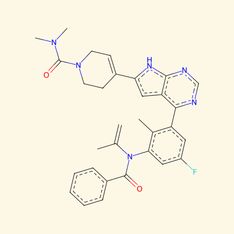 C=C(C)N(C(=O)c1ccccc1)c1cc(F)cc(-c2ncnc3[nH]c(C4=CCN(C(=O)N(C)C)CC4)cc23)c1C